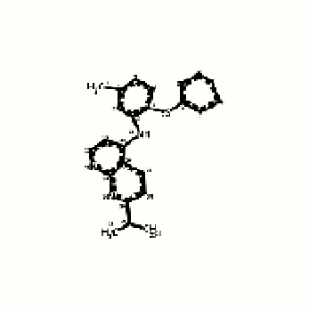 Cc1ccc(Sc2ccccc2)c(Nc2ccnc3nc(C(C)C)ccc23)c1